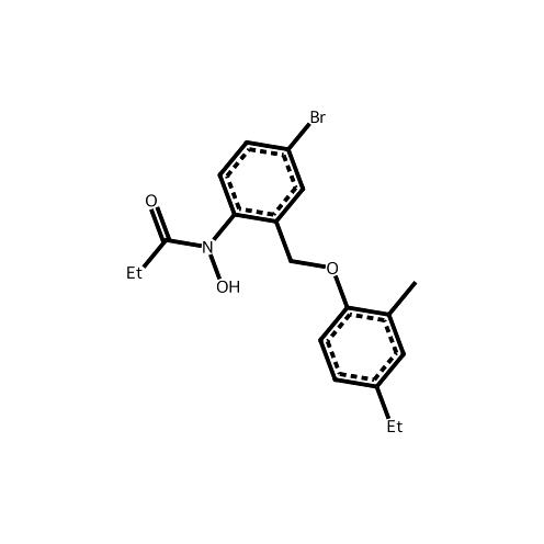 CCC(=O)N(O)c1ccc(Br)cc1COc1ccc(CC)cc1C